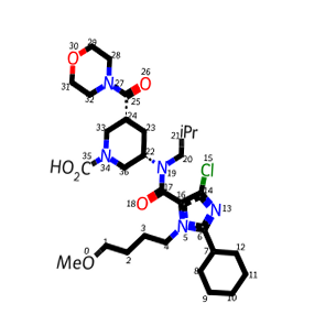 COCCCCn1c(C2CCCCC2)nc(Cl)c1C(=O)N(CC(C)C)[C@H]1C[C@@H](C(=O)N2CCOCC2)CN(C(=O)O)C1